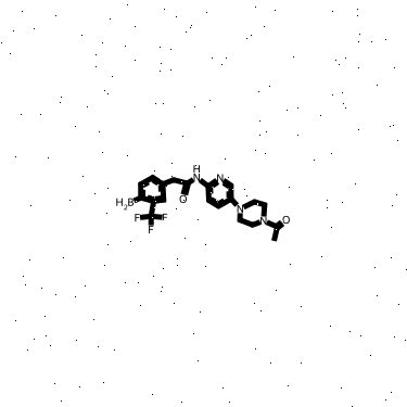 Bc1ccc(CC(=O)Nc2ccc(N3CCN(C(C)=O)CC3)cn2)cc1C(F)(F)F